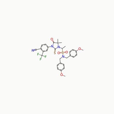 COc1ccc(CN(Cc2ccc(OC)cc2)S(=O)(=O)C(C)N2C(=S)N(c3ccc(C#N)c(C(F)(F)F)c3)C(=O)C2(C)C)cc1